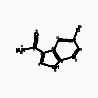 NC(=O)c1c[nH]c2ncc(Cl)cc12